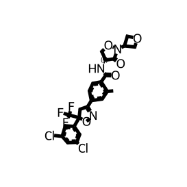 Cc1cc(C2=NOC(c3cc(Cl)cc(Cl)c3)(C(F)(F)F)C2)ccc1C(=O)N[C@@H]1CON(C2COC2)C1=O